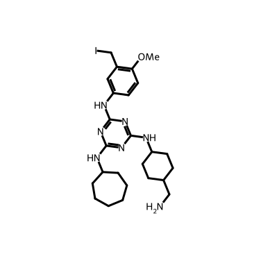 COc1ccc(Nc2nc(NC3CCCCCC3)nc(NC3CCC(CN)CC3)n2)cc1CI